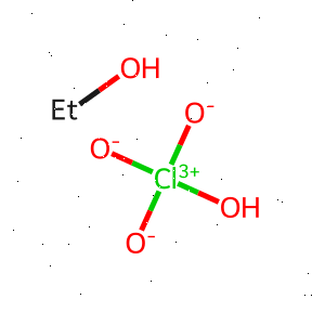 CCO.[O-][Cl+3]([O-])([O-])O